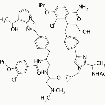 CC(=O)NC(C)c1nc(-c2ccc(CC(CCO)c3c(C(N)=O)ccc(OC(C)C)c3Cl)cc2)cn1CC1CC1.CC(C)Oc1ccc(C(=O)NC(CNC(=O)CN(C)C)Cc2ccc(-c3cn4cccc(C(C)O)c4n3)cc2)cc1Cl